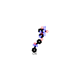 N#Cc1ccc(-c2noc(-c3ccc(Oc4ccc(N5CCCC56C(=O)NC(=O)NC6=O)cn4)cc3)n2)cc1